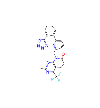 Cc1nc2c(c(C(F)(F)F)n1)CCC(=O)N2Cc1cccc(-c2ccccc2-c2nnn[nH]2)n1